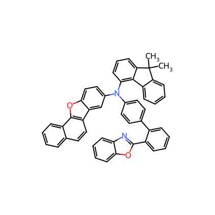 CC1(C)c2ccccc2-c2c(N(c3ccc(-c4ccccc4-c4nc5ccccc5o4)cc3)c3ccc4oc5c6ccccc6ccc5c4c3)cccc21